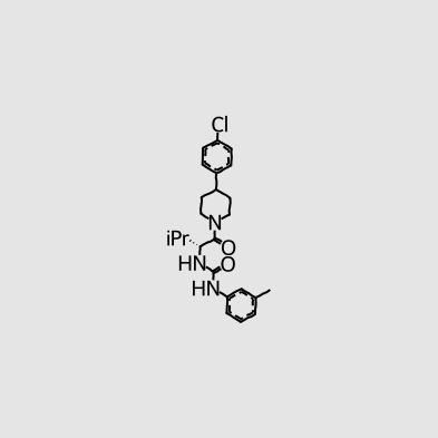 Cc1cccc(NC(=O)N[C@@H](C(=O)N2CCC(c3ccc(Cl)cc3)CC2)C(C)C)c1